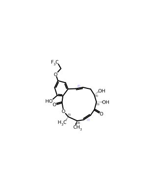 C[C@@H]1/C=C\C(=O)[C@@H](O)[C@@H](O)C/C=C/c2cc(OCC(F)(F)F)cc(O)c2C(=O)O[C@H]1C